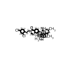 C[C@@H]1C[C@H](C)CN(C(=N)N(c2ccc3c(=O)n(CCc4ccc(Cl)cc4Cl)cnc3c2)[C@H]2C[C@@H]3C[C@H]([C@@H]2C)C3(C)C)C1